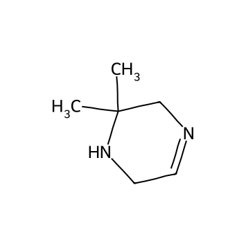 CC1(C)CN=CCN1